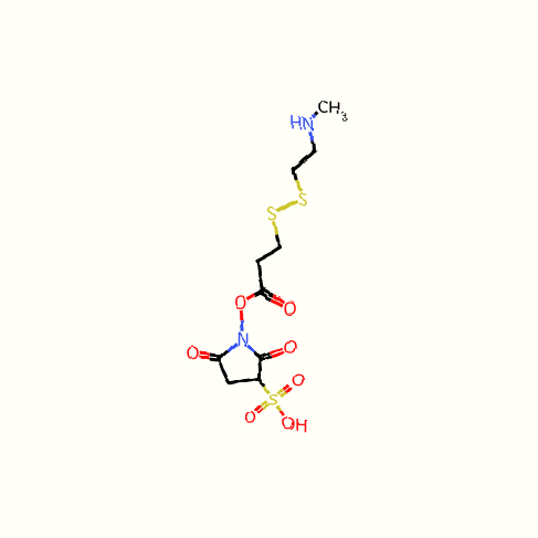 CNCCSSCCC(=O)ON1C(=O)CC(S(=O)(=O)O)C1=O